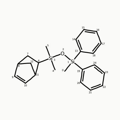 C[Si](O[Si](C)(C)C1CC2C=CC1C2)(c1ccccc1)c1ccccc1